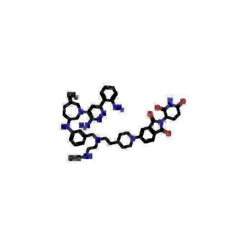 C=C1CCC(Nc2cccc(CN(CCNC=O)CCC3CCN(c4ccc5c(c4)C(=O)N(C4CCC(=O)NC4=O)C5=O)CC3)c2)CN(c2cc(-c3ccccc3N)nnc2N)C1